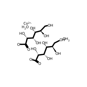 O.O.O=C([O-])[C@H](O)[C@@H](O)[C@H](O)[C@H](O)CO.O=C([O-])[C@H](O)[C@@H](O)[C@H](O)[C@H](O)CO.[Co+2]